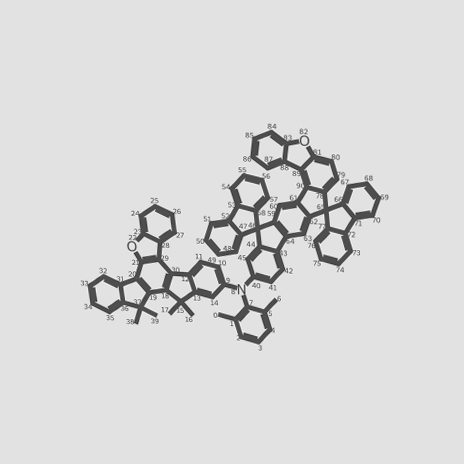 Cc1cccc(C)c1N(c1ccc2c(c1)C(C)(C)c1c3c(c4oc5ccccc5c4c1-2)-c1ccccc1C3(C)C)c1ccc2c(c1)C1(c3ccccc3-c3ccccc31)c1cc3c(cc1-2)C1(c2ccccc2-c2ccccc21)c1ccc2oc4ccccc4c2c1-3